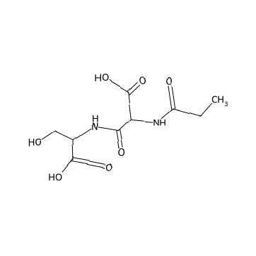 CCC(=O)NC(C(=O)O)C(=O)NC(CO)C(=O)O